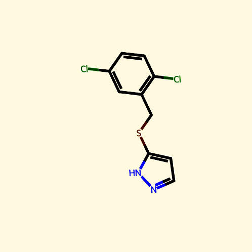 Clc1ccc(Cl)c(CSc2ccn[nH]2)c1